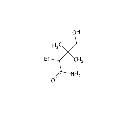 CCC(C(N)=O)C(C)(C)CO